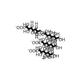 O=C([O-])C(O)C(O)C(O)C(O)C(O)C(O)CO.O=C([O-])C(O)C(O)C(O)C(O)C(O)C(O)CO.O=C([O-])C(O)C(O)C(O)C(O)C(O)C(O)CO.O=C([O-])C(O)C(O)C(O)C(O)C(O)C(O)CO.[Zr+4]